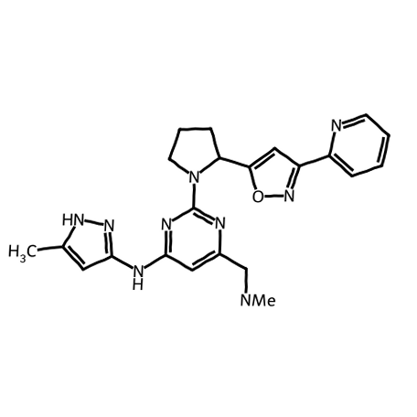 CNCc1cc(Nc2cc(C)[nH]n2)nc(N2CCCC2c2cc(-c3ccccn3)no2)n1